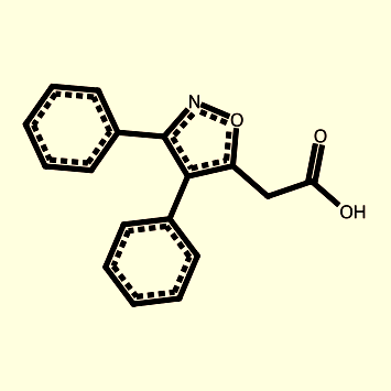 O=C(O)Cc1onc(-c2ccccc2)c1-c1ccccc1